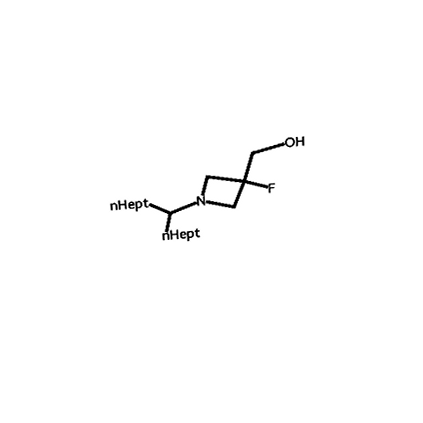 CCCCCCCC(CCCCCCC)N1CC(F)(CO)C1